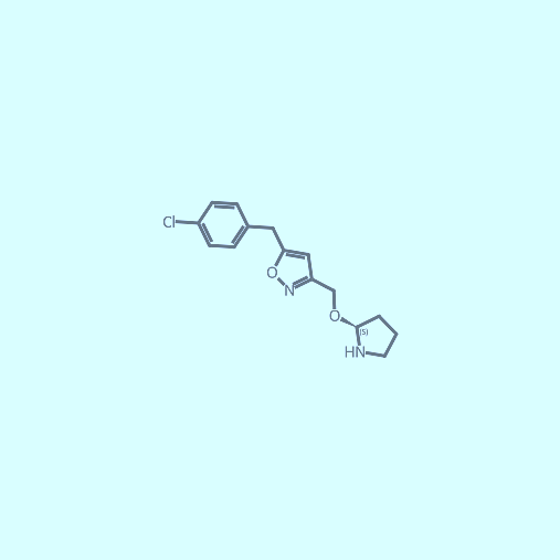 Clc1ccc(Cc2cc(CO[C@H]3CCCN3)no2)cc1